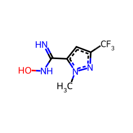 Cn1nc(C(F)(F)F)cc1C(=N)NO